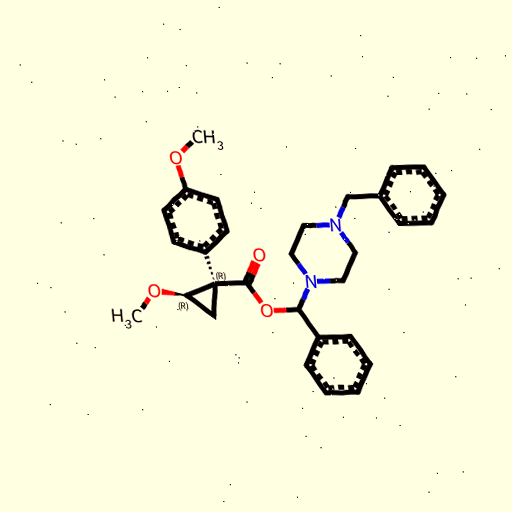 COc1ccc([C@]2(C(=O)OC(c3ccccc3)N3CCN(Cc4ccccc4)CC3)C[C@H]2OC)cc1